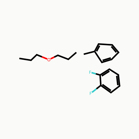 CCCOCCC.Cc1ccccc1.Fc1ccccc1F